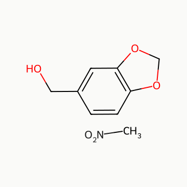 C[N+](=O)[O-].OCc1ccc2c(c1)OCO2